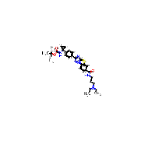 CCN(CC)CCCNC(=O)c1ccc2c(c1)sc1nc(-c3ccc(C4(NC(=O)OC(C)(C)C)CC4)cc3)nn12